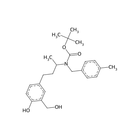 Cc1ccc(CN(C(=O)OC(C)(C)C)C(C)CCc2ccc(O)c(CO)c2)cc1